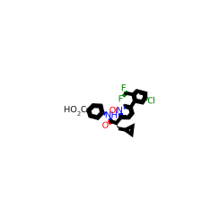 O=C(O)c1ccc(NC(=O)[C@@H](CC2CC2)c2ccc(-c3cc(Cl)ccc3C(F)F)c[n+]2[O-])cc1